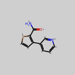 NC(=O)c1sccc1-c1cccnc1